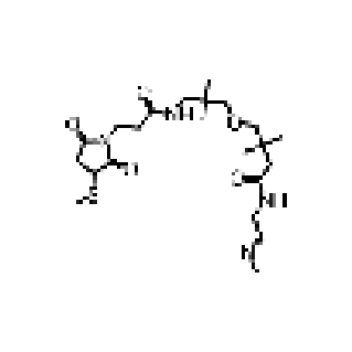 C/N=C/CNC(=O)CC(C)(C)COCC(C)(C)CNC(=O)CCN1C(=O)CC(SC)C1=O